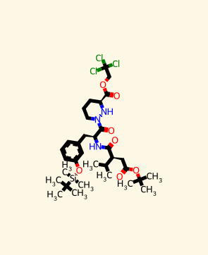 CC(C)[C@H](CC(=O)OC(C)(C)C)C(=O)N[C@@H](Cc1cccc(O[Si](C)(C)C(C)(C)C)c1)C(=O)N1CCC[C@@H](C(=O)OCC(Cl)(Cl)Cl)N1